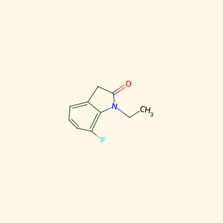 CCN1C(=O)Cc2cccc(F)c21